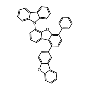 c1ccc(-c2ccc(-c3ccc4oc5ccccc5c4c3)c3c2oc2c(-n4c5ccccc5c5ccccc54)cccc23)cc1